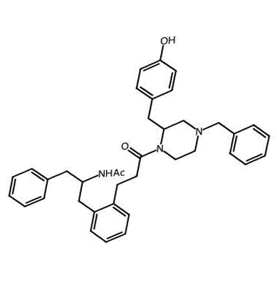 CC(=O)NC(Cc1ccccc1)Cc1ccccc1CCC(=O)N1CCN(Cc2ccccc2)CC1Cc1ccc(O)cc1